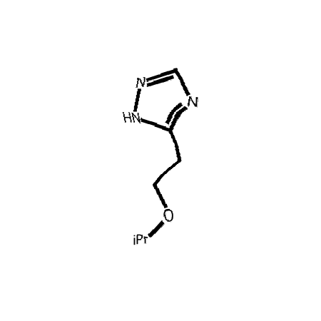 CC(C)OCCc1ncn[nH]1